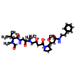 COC(CC(=O)N1CCCC1C(CC(=O)NCCc1ccccc1)OC)CN(C)C(=O)CNC(=O)C(C(C)C)N(C)C=O